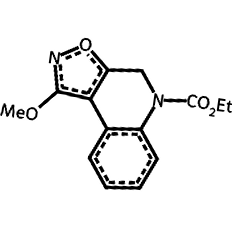 CCOC(=O)N1Cc2onc(OC)c2-c2ccccc21